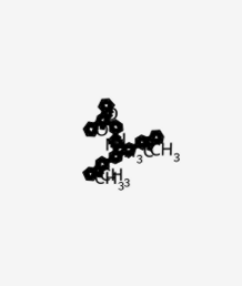 CC1(C)c2ccccc2-c2ccc(-c3ccc4c5ccc(-c6ccc7c(c6)C(C)(C)c6ccccc6-7)cc5c5nc(-c6cccc(-c7c8oc9ccccc9c8cc8c7oc7ccccc78)c6)cnc5c4c3)cc21